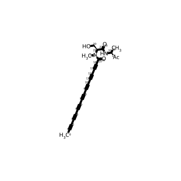 CC#CC#CC#CC#CC#CC#CC#CC(=O)N(C)[C@@H](CO)C(=O)N[C@@H](C)C(C)=O